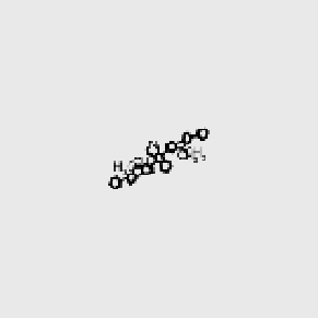 CC1(C)c2cc(-c3ccccc3)ccc2-c2ccc(-c3c4ccccc4c(-c4ccc5c(c4)C(C)(C)c4cc(-c6ccccc6)ccc4-5)c4cnccc34)cc21